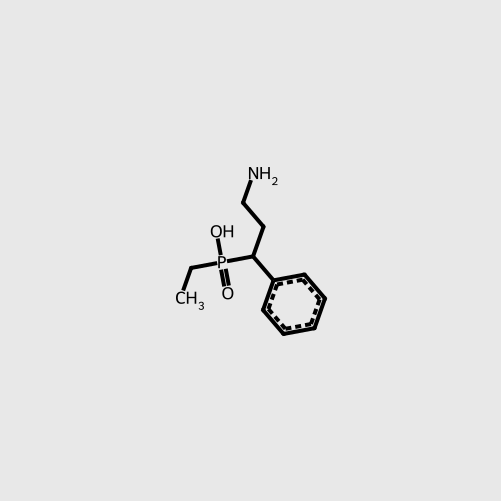 CCP(=O)(O)C(CCN)c1ccccc1